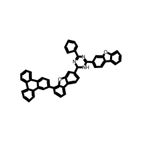 c1ccc(C2=NC(c3ccc4c(c3)oc3c(-c5ccc6c7ccccc7c7ccccc7c6c5)cccc34)NC(c3ccc4c(c3)oc3ccccc34)=N2)cc1